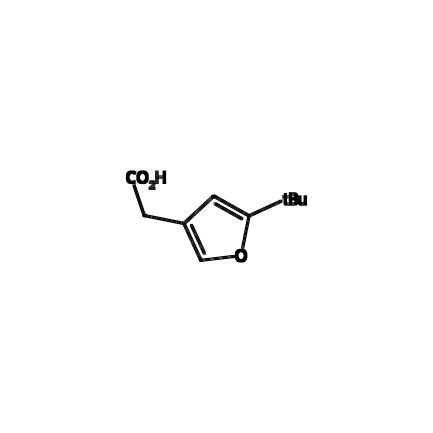 CC(C)(C)c1cc(CC(=O)O)co1